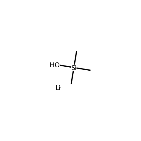 C[Si](C)(C)O.[Li]